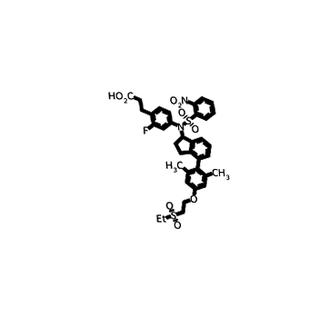 CCS(=O)(=O)CCOc1cc(C)c(-c2cccc3c2CCC3N(c2ccc(CCC(=O)O)c(F)c2)S(=O)(=O)c2ccccc2[N+](=O)[O-])c(C)c1